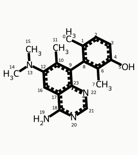 Cc1ccc(O)c(C)c1-c1c(C)c(N(C)C)cc2c(N)ncnc12